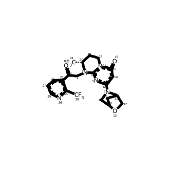 O=C(CN1c2nc(N3CC4CC3CO4)cc(=O)n2CC[C@H]1C(F)(F)F)c1cccnc1C(F)(F)F